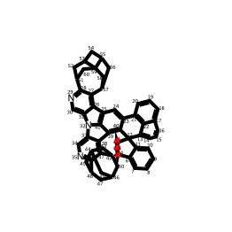 c1ccc2c(c1)-c1ccccc1C21c2cccc3cccc(c23)-c2cc3c4c5c(ncc4n4c6cnc7c(c6c(c21)c34)C1CC2CC(CC7C2)C1)C1CC2CC3CC5CC23C1